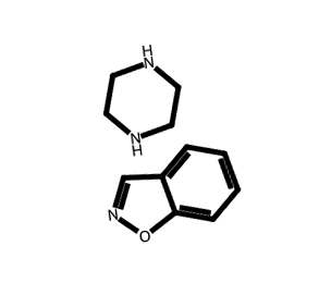 C1CNCCN1.c1ccc2oncc2c1